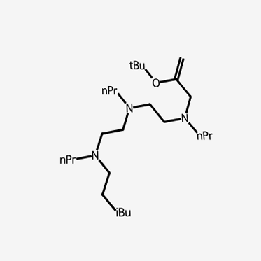 C=C(CN(CCC)CCN(CCC)CCN(CCC)CCC(C)CC)OC(C)(C)C